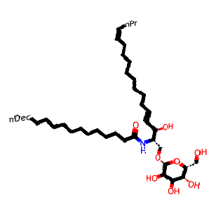 CCC/C=C\CCCCCCCC/C=C/[C@@H](O)[C@H](CO[C@@H]1O[C@H](CO)[C@H](O)C(O)C1O)NC(=O)CCCCCCCCCCCCCCCCCCCCC